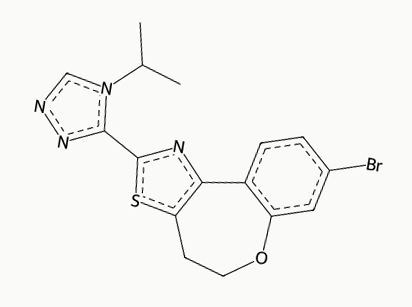 CC(C)n1cnnc1-c1nc2c(s1)CCOc1cc(Br)ccc1-2